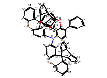 c1ccc(-c2ccc(N(c3ccc4c(c3)C3(c5ccccc5S4)c4ccccc4-c4ccccc43)c3ccc4c(c3)C3(c5ccccc5S4)c4ccccc4-c4ccccc43)c3c2oc2ccccc23)cc1